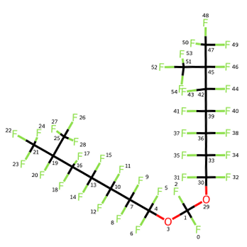 FC(F)(OC(F)(F)C(F)(F)C(F)(F)C(F)(F)C(F)(F)C(F)(C(F)(F)F)C(F)(F)F)OC(F)(F)C(F)(F)C(F)(F)C(F)(F)C(F)(F)C(F)(C(F)(F)F)C(F)(F)F